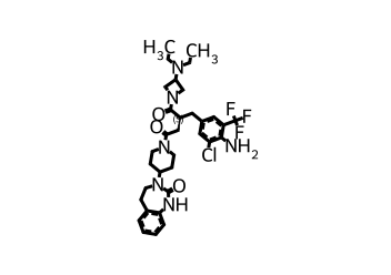 CCN(CC)C1CN(C(=O)[C@H](CC(=O)N2CCC(N3CCc4ccccc4NC3=O)CC2)Cc2cc(Cl)c(N)c(C(F)(F)F)c2)C1